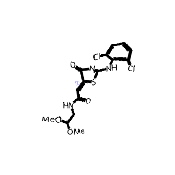 COC(CNC(=O)/C=C1\SC(Nc2c(Cl)cccc2Cl)=NC1=O)OC